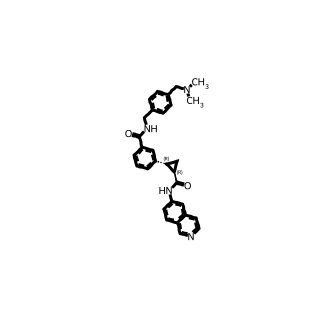 CN(C)Cc1ccc(CNC(=O)c2cccc([C@@H]3C[C@H]3C(=O)Nc3ccc4cnccc4c3)c2)cc1